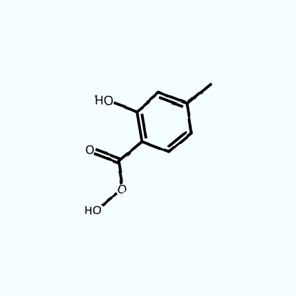 Cc1ccc(C(=O)OO)c(O)c1